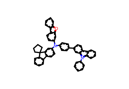 c1ccc(-n2c3ccccc3c3ccc(-c4ccc(N(c5ccc6c(c5)C5(CCCC5)c5ccccc5-6)c5ccc6c(c5)oc5ccccc56)cc4)cc32)cc1